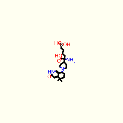 CC1(C)CCC(N2CCC(C(N)(CCCCB(O)O)C(=O)O)CC2)c2c[nH]c(=O)cc21